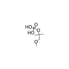 COCC(C)(C)OP(=O)(O)O